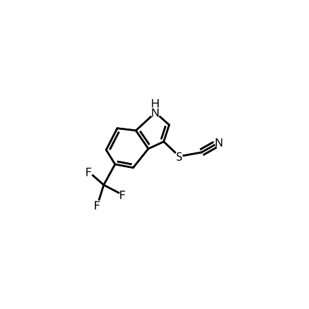 N#CSc1c[nH]c2ccc(C(F)(F)F)cc12